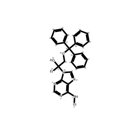 CCNc1ncnc2c1ncn2C(O)(CC)COC(c1ccccc1)(c1ccccc1)c1ccccc1